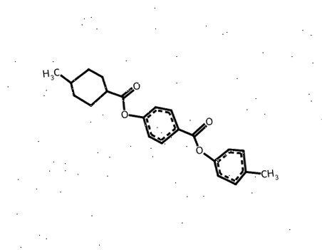 Cc1ccc(OC(=O)c2ccc(OC(=O)C3CCC(C)CC3)cc2)cc1